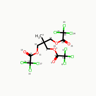 CC(COC(=O)C(Cl)(Cl)Cl)(COC(=O)C(Cl)(Cl)Cl)COC(=O)C(Cl)(Cl)Cl